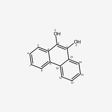 Oc1c(O)c2ccccc2c2ccccc12